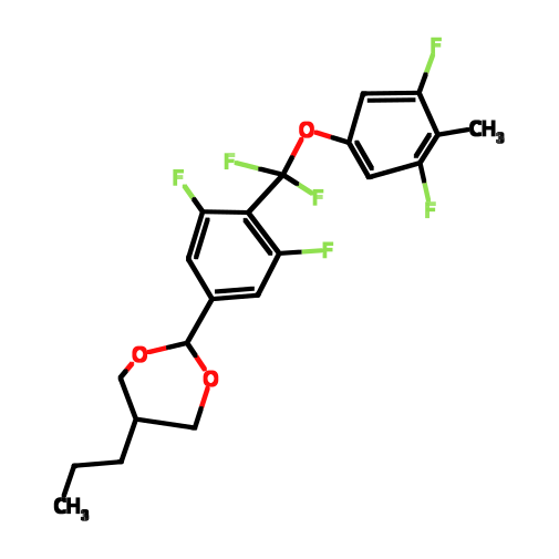 CCCC1COC(c2cc(F)c(C(F)(F)Oc3cc(F)c(C)c(F)c3)c(F)c2)OC1